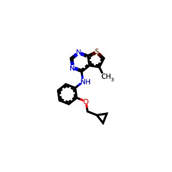 Cc1csc2ncnc(Nc3ccccc3OCC3CC3)c12